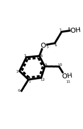 Cc1ccc(OCCO)c(CO)c1